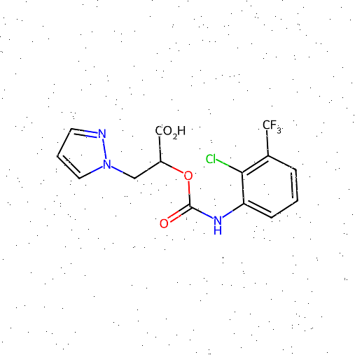 O=C(Nc1cccc(C(F)(F)F)c1Cl)OC(Cn1cccn1)C(=O)O